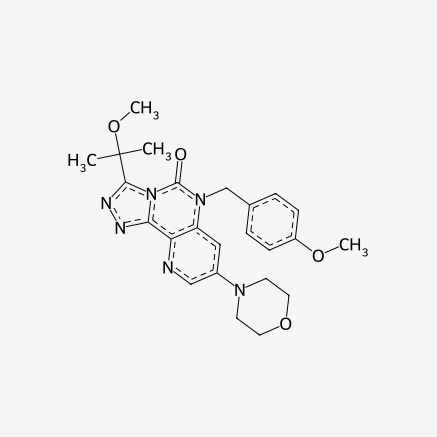 COc1ccc(Cn2c(=O)n3c(C(C)(C)OC)nnc3c3ncc(N4CCOCC4)cc32)cc1